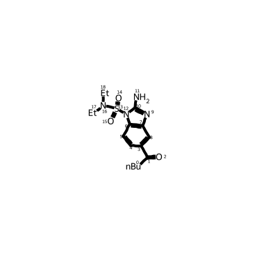 CCCCC(=O)c1ccc2c(c1)nc(N)n2S(=O)(=O)N(CC)CC